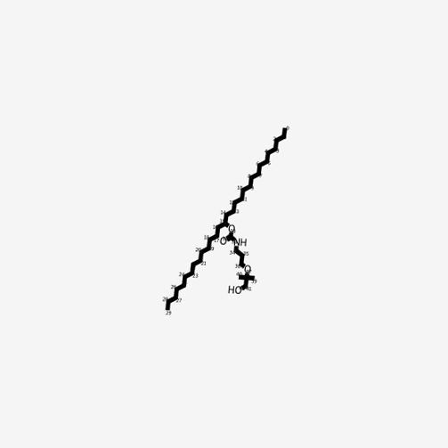 CCCCCCCCCCCCCCCC(CCCCCCCCCCCCCC)OC(=O)NCCCOC(C)(C)CO